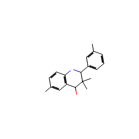 CCOC(=O)c1ccc2c(c1)C(O)C(C)(C)C(c1cccc([N+](=O)[O-])c1)N2